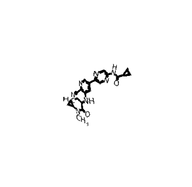 CCC(Nc1cc(-c2cnc(NC(=O)C3CC3)cn2)cnc1C#N)C(=O)N(C)C1CC1